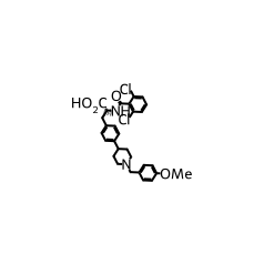 COc1ccc(CN2CCC(c3ccc(C[C@H](NC(=O)c4c(Cl)cccc4Cl)C(=O)O)cc3)CC2)cc1